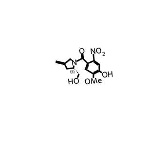 C=C1C[C@@H](CO)N(C(=O)c2cc(OC)c(O)cc2[N+](=O)[O-])C1